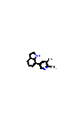 Cc1ncc(C2=CCCC3CCNC23)cc1C#N